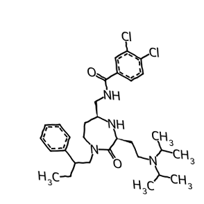 CCC(CN1CC[C@@H](CNC(=O)c2ccc(Cl)c(Cl)c2)N[C@@H](CCN(C(C)C)C(C)C)C1=O)c1ccccc1